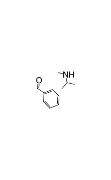 CNC(C)C.O=Cc1ccccc1